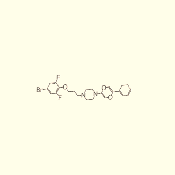 Fc1cc(Br)cc(F)c1OCCCN1CCN(C2=COC(C3=CC=CCC3)=CO2)CC1